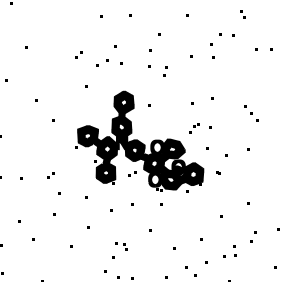 c1ccc(-c2ccc(N(c3ccc(-c4cc5oc6ccc7c8ccccc8oc7c6c5c5c4oc4ccccc45)cc3)c3cc(-c4ccccc4)cc(-c4ccccc4)c3)cc2)cc1